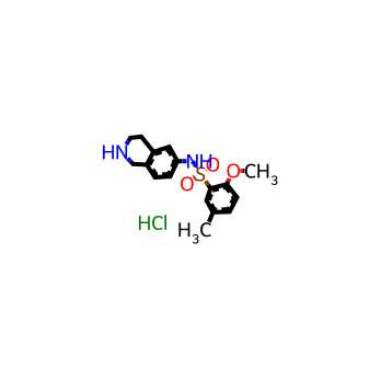 COc1ccc(C)cc1S(=O)(=O)Nc1ccc2c(c1)CCNC2.Cl